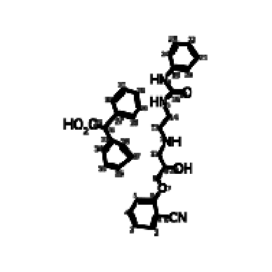 N#Cc1ccccc1OCC(O)CNCCNC(=O)Nc1ccccc1.O=C(O)C(c1ccccc1)c1ccccc1